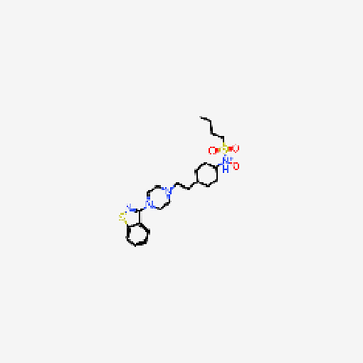 CCCCS(=O)(=O)[NH+]([O-])C1CCC(CCN2CCN(c3nsc4ccccc34)CC2)CC1